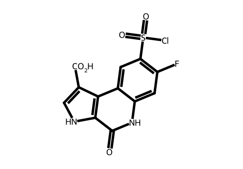 O=C(O)c1c[nH]c2c(=O)[nH]c3cc(F)c(S(=O)(=O)Cl)cc3c12